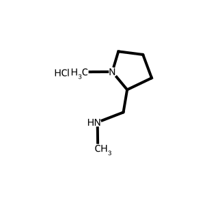 CNCC1CCCN1C.Cl